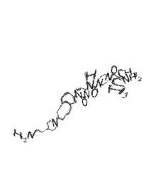 CC(C)(N)C(=O)N1CCN(C(=O)Nc2ccn(-c3ccc4c(c3)CCC(N3CCC(CCN)CC3)C4)c(=O)n2)CC1